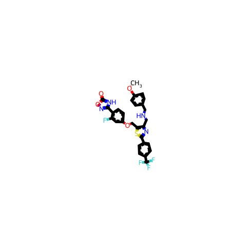 COc1ccc(CNCc2nc(-c3ccc(C(F)(F)F)cc3)sc2COc2ccc(-c3noc(=O)[nH]3)c(F)c2)cc1